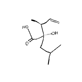 C=C[C@H](C)[C@@](O)(CC(C)C)C(=O)O